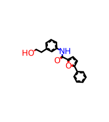 O=C(Nc1cccc(CCO)c1)c1ccc(-c2ccccc2)o1